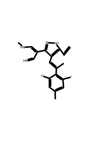 C=Cc1[nH]nc(/C(C=N)=C/NC)c1/C=C(\C)c1c(F)cc(C)cc1F